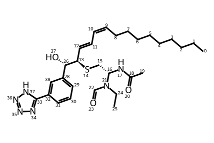 CCCCCCCCC/C=C\C=C\[C@@H](SC[C@H](NC(C)=O)N(C=O)CC)[C@@H](O)c1cccc(-c2nnn[nH]2)c1